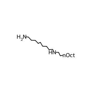 CCCCCCCCCCNCCCCCCCCCN